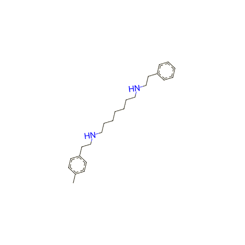 Cc1ccc(CCNCCCCCCCNCCc2ccccc2)cc1